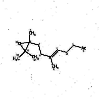 CC(=O)CCC=C(C)CCC1(C)OC1(C)C